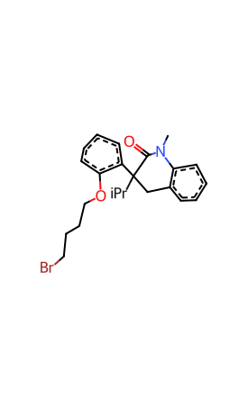 CC(C)C1(c2ccccc2OCCCCBr)Cc2ccccc2N(C)C1=O